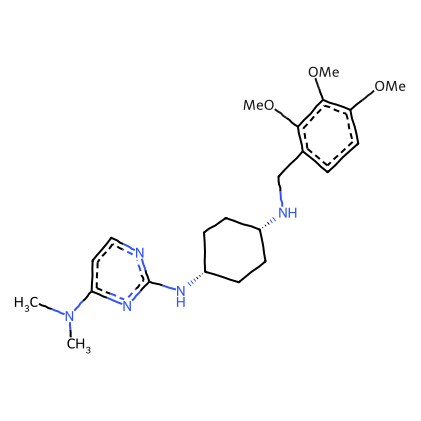 COc1ccc(CN[C@H]2CC[C@@H](Nc3nccc(N(C)C)n3)CC2)c(OC)c1OC